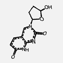 O=c1ccc2cn([C@H]3CCC(O)O3)c(=O)nc2[nH]1